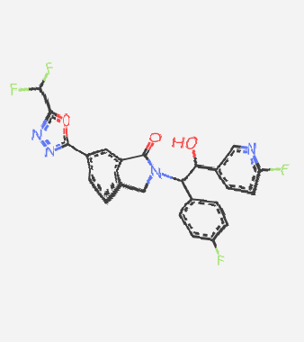 O=C1c2cc(-c3nnc(C(F)F)o3)ccc2CN1C(c1ccc(F)cc1)C(O)c1ccc(F)nc1